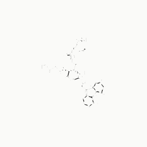 C=CCOP(=O)(OCCN)OCC(NC(=O)OCC1c2ccccc2-c2ccccc21)C(=O)NCCCO